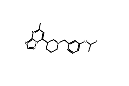 Cc1cc(C2CCCN(Cc3cccc(OC(F)F)c3)C2)n2ncnc2n1